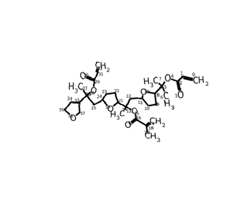 C=CC(=O)OC(C)(C)C1CCC(CC(C)(OC(=O)C(=C)C)C2CCC(CC(C)(OC(=O)C=C)C3CCOC3)O2)O1